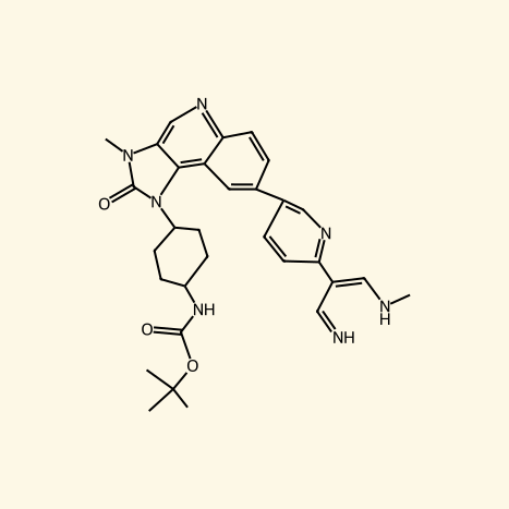 CN/C=C(\C=N)c1ccc(-c2ccc3ncc4c(c3c2)n(C2CCC(NC(=O)OC(C)(C)C)CC2)c(=O)n4C)cn1